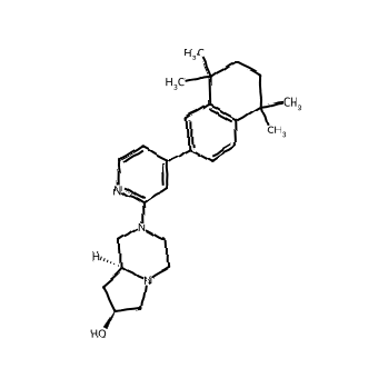 CC1(C)CCC(C)(C)c2cc(-c3ccnc(N4CCN5C[C@@H](O)C[C@H]5C4)c3)ccc21